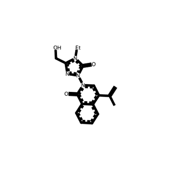 C=C(C)c1cn(-n2nc(CO)n(CC)c2=O)c(=O)c2ccccc12